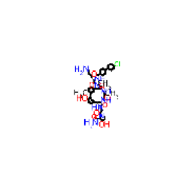 Cc1ccc2cc1-c1cc(ccc1O)C[C@@H](C(=O)NCC(=O)N1CC[C@H](O)[C@H]1C(N)=O)NC(=O)[C@H](C)NC(=O)[C@H]2N(C)C(=O)[C@H](CCCCN)NC(=O)c1ccc(-c2ccc(Cl)cc2)cc1